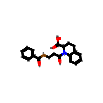 O=C(SCCC(=O)N1c2ccccc2CCC1C(=O)O)c1ccccc1